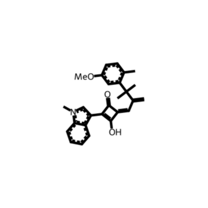 C=C(/C=C1\C(=O)C(c2cn(C)c3ccccc23)=C1O)C(C)(C)c1cc(OC)ccc1C